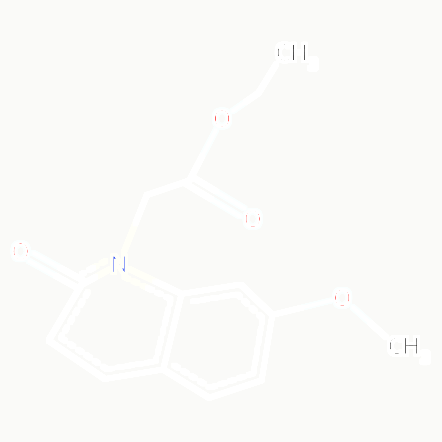 CCOC(=O)Cn1c(=O)ccc2ccc(OC)cc21